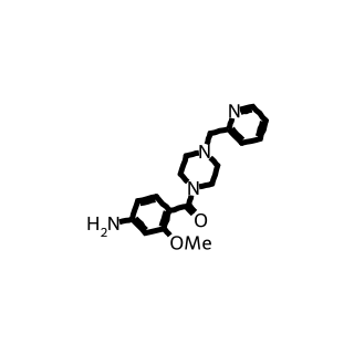 COc1cc(N)ccc1C(=O)N1CCN(Cc2ccccn2)CC1